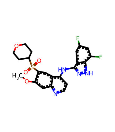 COc1cc2nccc(Nc3n[nH]c4c(F)cc(F)cc34)c2cc1S(=O)(=O)C1CCOCC1